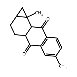 Cc1ccc2c(c1)C(=O)C1CCC3CC3(C)C1C2=O